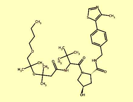 CCCCOCC(C)(C)OC(C)(C)CC(=O)NC(C(=O)N1C[C@H](O)C[C@H]1C(=O)NCc1ccc(-c2scnc2C)cc1)C(C)(C)C